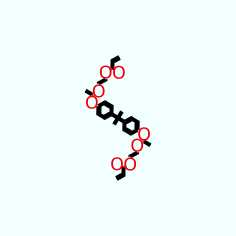 C=CC(=O)OCCOC(C)Oc1ccc(C(C)(C)c2ccc(OC(C)OCCOC(=O)C=C)cc2)cc1